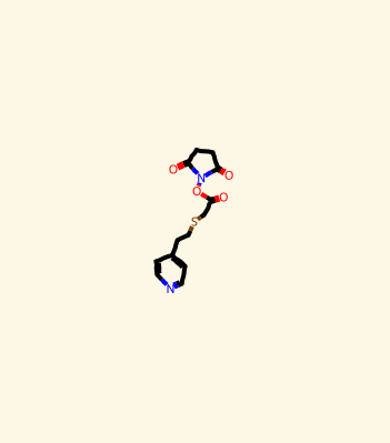 O=C(CSCCc1ccncc1)ON1C(=O)CCC1=O